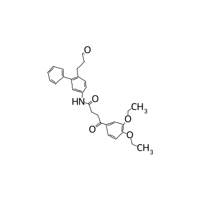 CCOc1ccc(C(=O)CCC(=O)Nc2ccc(CCC=O)c(-c3ccccc3)c2)cc1OCC